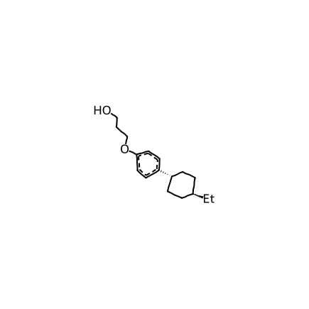 CC[C@H]1CC[C@H](c2ccc(OCCCO)cc2)CC1